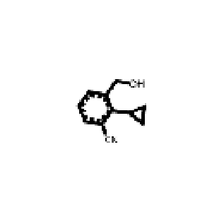 N#Cc1cccc([CH]O)c1C1CC1